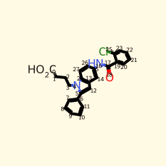 O=C(O)CCCn1c(-c2ccccc2)cc2cc(NC(=O)c3ccccc3Cl)ccc21